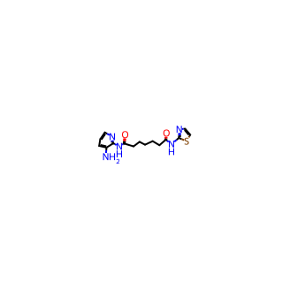 Nc1cccnc1NC(=O)CCCCCC(=O)Nc1nccs1